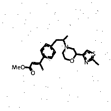 COC(=O)/C=C(\C)c1ccc(CC(C)N2CCOC(c3csc(C)n3)C2)cc1